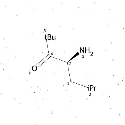 CC(C)C[C@H](N)C(=O)C(C)(C)C